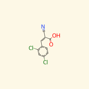 N#CC(=Cc1ccc(Cl)cc1Cl)C(=O)O